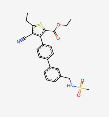 CCOC(=O)c1sc(CC)c(C#N)c1-c1ccc(-c2cccc(CNS(C)(=O)=O)c2)cc1